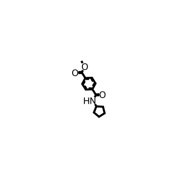 COC(=O)c1ccc(C(=O)NC2CCCC2)cc1